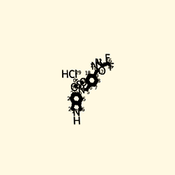 CS(=O)(=O)N(Cc1ccc(-c2nnc(C(F)F)o2)cc1)c1ccc2c(c1)CNC2.Cl